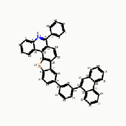 c1ccc(-c2nc3ccccc3c3c2ccc2c4cc(-c5cccc(-c6cc7ccccc7c7ccccc67)c5)ccc4sc23)cc1